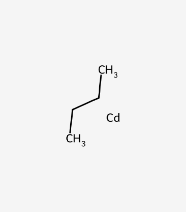 CCCC.[Cd]